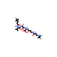 CC(C)[C@H](NC(=O)CCC(C)(C)C)C(=O)N[C@@H](C)C(=O)N[C@@H](CCCCNC(=O)CCNC(C)(C)C)C(=O)O